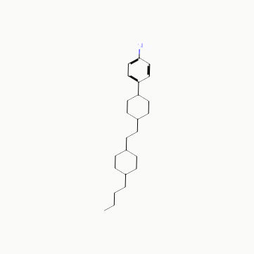 CCCCC1CCC(CCC2CCC(c3ccc(N)cc3)CC2)CC1